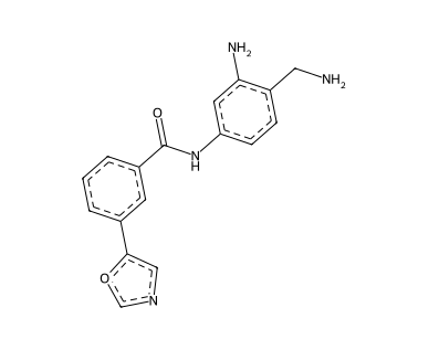 NCc1ccc(NC(=O)c2cccc(-c3cnco3)c2)cc1N